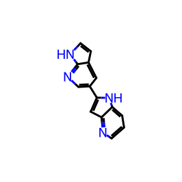 c1cnc2cc(-c3cnc4[nH]ccc4c3)[nH]c2c1